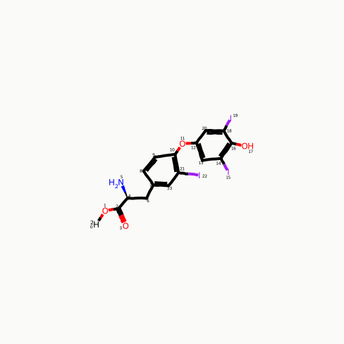 [2H]OC(=O)[C@@H](N)Cc1ccc(Oc2cc(I)c(O)c(I)c2)c(I)c1